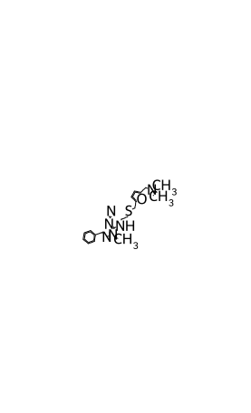 CN(C)Cc1ccc(CSCCNC(=NC#N)N(C)N=Cc2ccccc2)o1